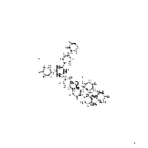 c1ccc(-c2ccc(-c3nc(-c4ccccc4)nc(-c4ccc5c(c4)oc4c(-c6ccccc6-c6cccc7sc8ccccc8c67)cccc45)n3)cc2)cc1